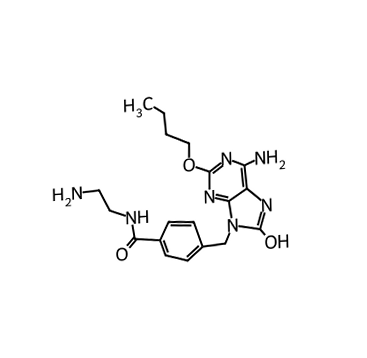 CCCCOc1nc(N)c2nc(O)n(Cc3ccc(C(=O)NCCN)cc3)c2n1